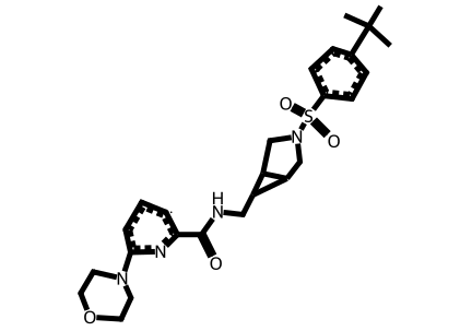 CC(C)(C)c1ccc(S(=O)(=O)N2CC3C(CNC(=O)c4[c]ccc(N5CCOCC5)n4)C3C2)cc1